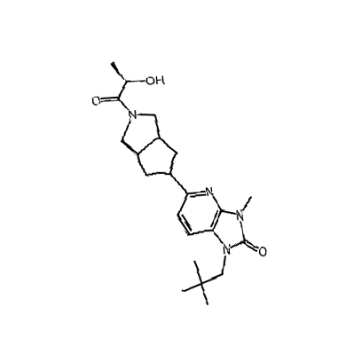 C[C@@H](O)C(=O)N1CC2CC(c3ccc4c(n3)n(C)c(=O)n4CC(C)(C)C)CC2C1